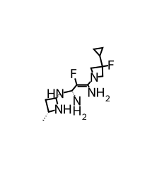 C[C@@H]1C[C@H](N[C@@H](N)/C(F)=C(\N)N2CC(F)(C3CC3)C2)N1